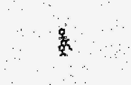 CCCn1c(=O)c(S(=O)(=O)c2ccccc2)cc2cnc([S+](C)[O-])nc21